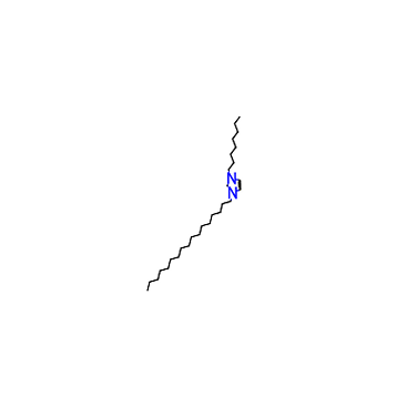 CCCCCCCCCCCCCCCCCN1C=CN(CCCCCCCC)C1